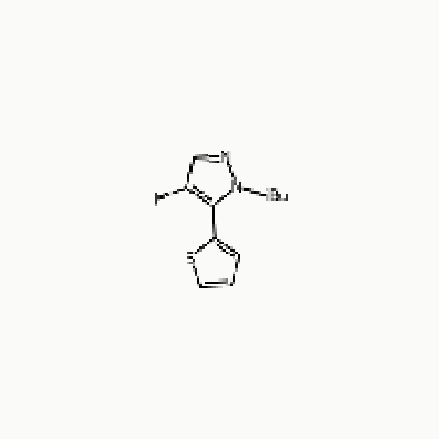 CCC(C)n1ncc(I)c1-c1cccs1